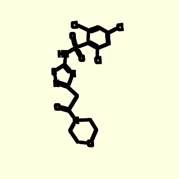 O=C(Cc1nsc(NS(=O)(=O)c2c(Cl)cc(Cl)cc2Cl)n1)N1CCOCC1